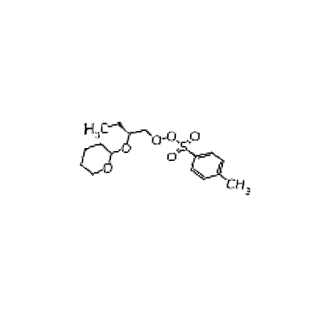 CC[C@@H](COOS(=O)(=O)c1ccc(C)cc1)OC1CCCCO1